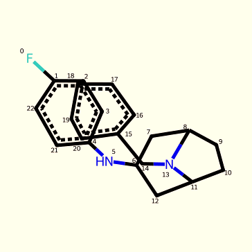 Fc1ccc(NC2CC3CCC(C2)N3Cc2ccccc2)cc1